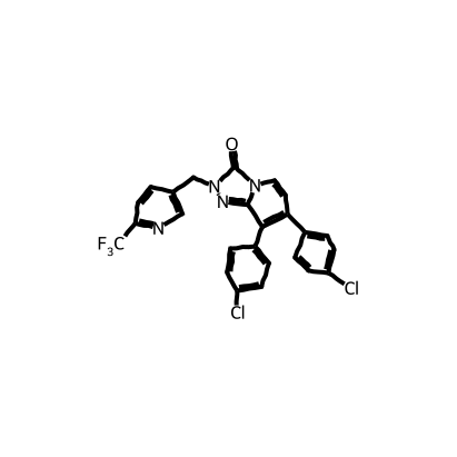 O=c1n(Cc2ccc(C(F)(F)F)nc2)nc2c(-c3ccc(Cl)cc3)c(-c3ccc(Cl)cc3)ccn12